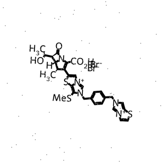 CSc1c2sc(C3=C(C(=O)O)N4C(=O)[C@H]([C@@H](C)O)[C@H]4[C@H]3C)c[n+]2cn1Cc1ccc(Cn2cc3scc[n+]3c2)cc1.[Br-].[Br-]